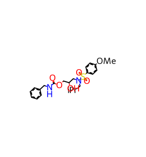 COc1ccc(S(=O)(=O)N(CC(C)C)C[C@@H](O)COC(=O)NCc2ccccc2)cc1